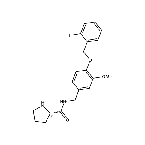 COc1cc(CNC(=O)[C@@H]2CCCN2)ccc1OCc1ccccc1F